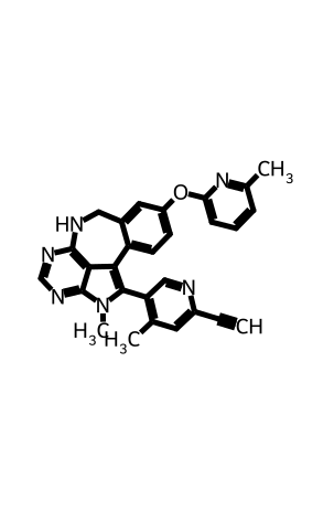 C#Cc1cc(C)c(-c2c3c4c(ncnc4n2C)NCc2cc(Oc4cccc(C)n4)ccc2-3)cn1